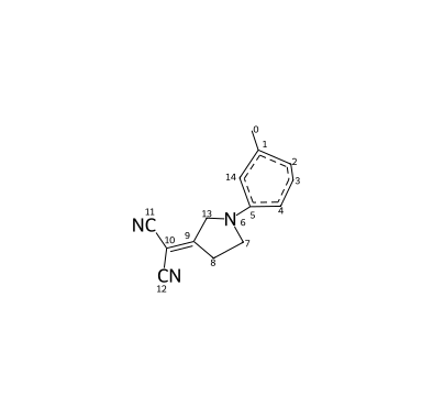 Cc1cccc(N2CCC(=C(C#N)C#N)C2)c1